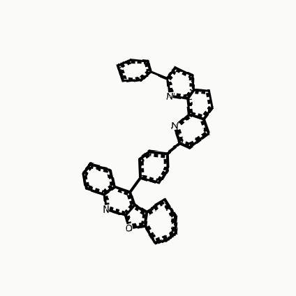 c1ccc(-c2ccc3ccc4ccc(-c5ccc(-c6c7ccccc7nc7oc8ccccc8c67)cc5)nc4c3n2)cc1